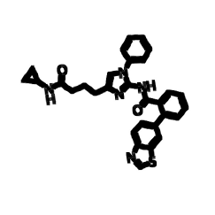 O=C(CCCc1cn(-c2ccccc2)c(NC(=O)c2ccccc2-c2ccc3ncsc3c2)n1)NC1CC1